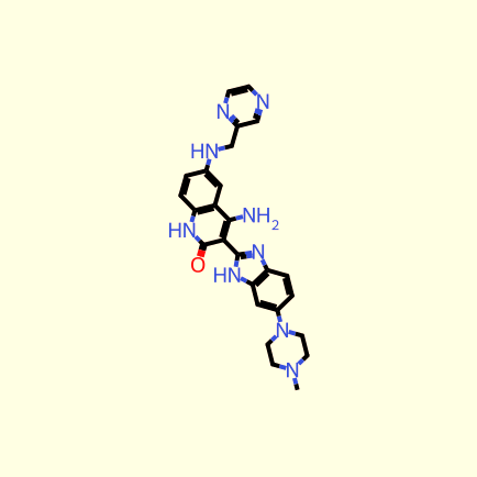 CN1CCN(c2ccc3nc(-c4c(N)c5cc(NCc6cnccn6)ccc5[nH]c4=O)[nH]c3c2)CC1